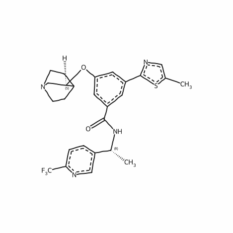 Cc1cnc(-c2cc(O[C@@H]3CN4CCC3CC4)cc(C(=O)N[C@H](C)c3ccc(C(F)(F)F)nc3)c2)s1